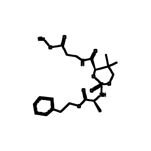 C[C@H](NP1(=O)OCC(C)(C)[C@H](C(=O)NCCC(=O)OC(C)(C)C)O1)C(=O)OCCc1ccccc1